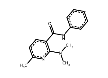 Cc1ccc(C(=O)Nc2cc[c]cc2)c(N(C)C)n1